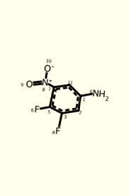 Nc1cc(F)c(F)c([N+](=O)[O-])c1